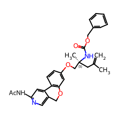 C=C(C)C[C@@](C)(COc1ccc2c(c1)OCc1cnc(NC(C)=O)cc1-2)NC(=O)OCc1ccccc1